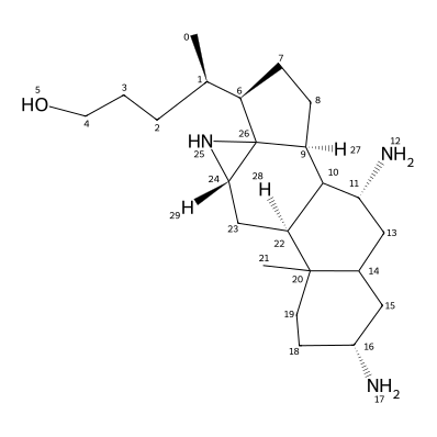 C[C@H](CCCO)[C@H]1CC[C@H]2C3[C@H](N)CC4C[C@H](N)CCC4(C)[C@H]3C[C@@H]3NC312